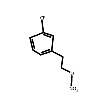 O=[N+]([O-])OCCc1cccc(C(F)(F)F)c1